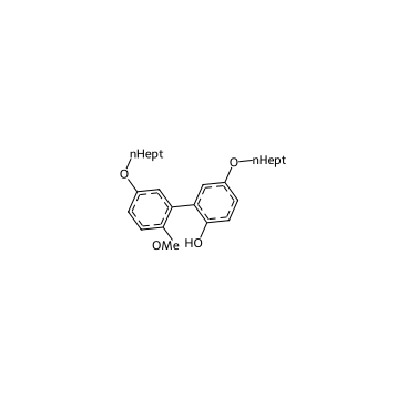 CCCCCCCOc1ccc(O)c(-c2cc(OCCCCCCC)ccc2OC)c1